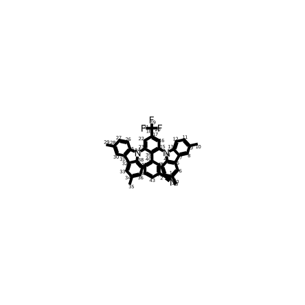 Cc1ccc2c(c1)c1cc(C)ccc1n2-c1cc(C(F)(F)F)cc(-n2c3ccc(C)cc3c3cc(C)ccc32)c1-c1cccc(C#N)c1